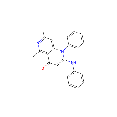 Cc1cc2c(c(C)n1)c(=O)cc(Nc1ccccc1)n2-c1ccccc1